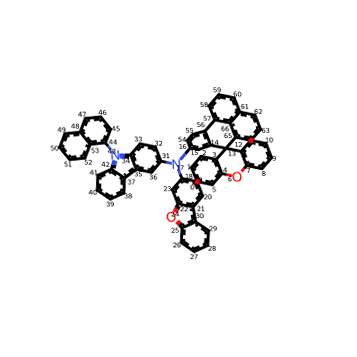 c1ccc2c(c1)Oc1ccccc1C21c2cc(N(c3ccc4c(c3)oc3ccccc34)c3ccc4c(c3)c3ccccc3n4-c3cccc4ccccc34)ccc2-c2cccc3cccc1c23